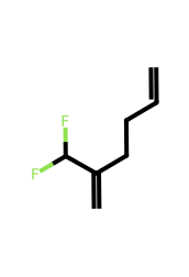 C=CCCC(=C)C(F)F